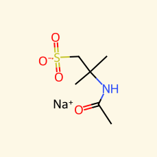 CC(=O)NC(C)(C)CS(=O)(=O)[O-].[Na+]